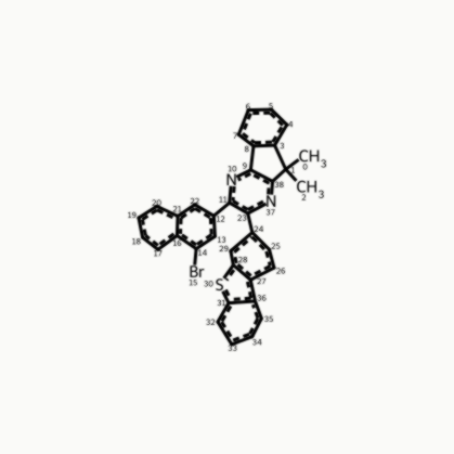 CC1(C)c2ccccc2-c2nc(-c3cc(Br)c4ccccc4c3)c(-c3ccc4c(c3)sc3ccccc34)nc21